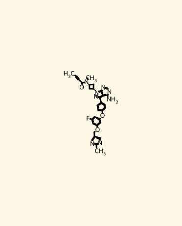 CC#CC(=O)N(C)[C@H]1C[C@@H](n2nc(-c3ccc(Oc4cc(F)cc(OCc5cnc(C)nc5)c4)cc3)c3c(N)ncnc32)C1